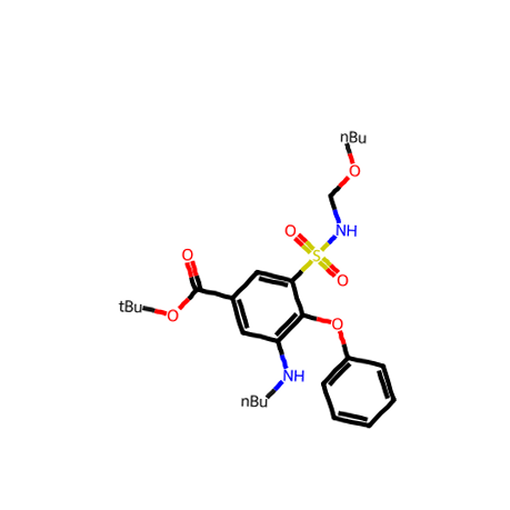 CCCCNc1cc(C(=O)OC(C)(C)C)cc(S(=O)(=O)NCOCCCC)c1Oc1ccccc1